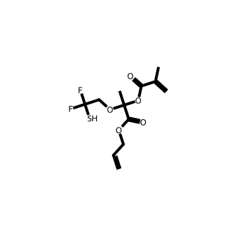 C=CCOC(=O)C(C)(OCC(F)(F)S)OC(=O)C(=C)C